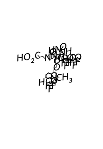 Cc1cc(COc2ccc(C3(N4CCN(CCCC(=O)O)CC4)C(=O)NC(=O)NC3=O)cc2)c2ccccc2n1.O=C(O)C(F)(F)F.O=C(O)C(F)(F)F.O=C(O)C(F)(F)F